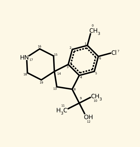 Cc1cc2c(cc1Cl)C(C(C)(C)O)CC21CCNCC1